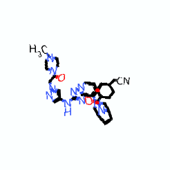 CN1CCN(C(=O)Cn2cc(Nc3nc4c(N5CC6CCC(C5)N6C(=O)C5CCC(CC#N)CC5)cccn4n3)cn2)CC1